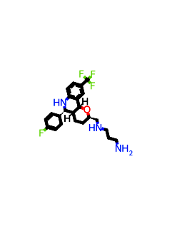 NCCCNC[C@H]1CC[C@@H]2[C@H](O1)c1cc(C(F)(F)F)ccc1N[C@H]2C1C=CC(F)=CC1